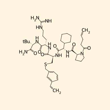 C=CCCC(=O)N1CCC[C@H]1C(=O)N[C@H](C(=O)N[C@@H](CSCc1cccc(C=C)c1)C(=O)N[C@@H](CCCNC(=N)N)C(=O)N[C@H](C(N)=O)C(C)(C)C)C1CCCCC1